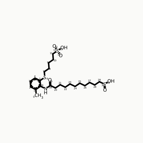 Cc1cccc(SCCCCCS(=O)(=O)O)c1NC(=O)CCCCCCCCCCS(=O)O